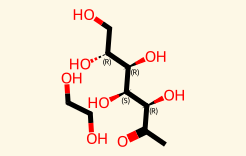 CC(=O)[C@H](O)[C@@H](O)[C@H](O)[C@H](O)CO.OCCO